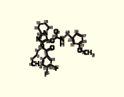 CCCCN(C(=O)c1ccc(F)c(F)c1)c1nc2n(c1OC(=O)NCc1cccc(OC)c1)CCCC2